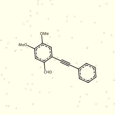 COc1cc(C#Cc2ccccc2)c(C=O)cc1OC